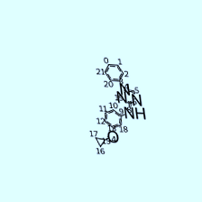 c1ccc(-n2cnc(Nc3cccc(OC4CC4)c3)n2)cc1